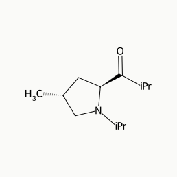 CC(C)C(=O)[C@@H]1C[C@@H](C)CN1C(C)C